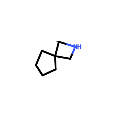 [CH]1NCC12CCCC2